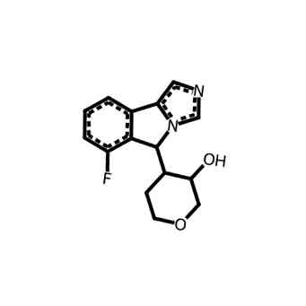 OC1COCCC1C1c2c(F)cccc2-c2cncn21